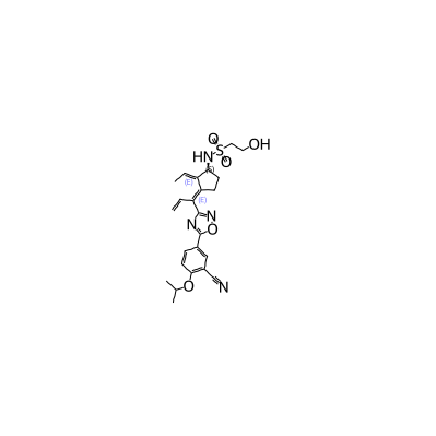 C=C/C(=C1/CC[C@H](NS(=O)(=O)CCO)/C1=C/C)c1noc(-c2ccc(OC(C)C)c(C#N)c2)n1